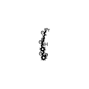 CC(C)CC(=O)CCCOCC(=O)NCc1ccc(CC(=O)C2CCCCC2=O)cc1